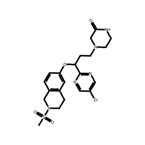 CCc1cnc(C(CCN2CCNC(=O)C2)Oc2ccc3c(c2)CCN(S(C)(=O)=O)C3)nc1